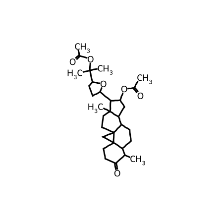 CC(=O)OC1CC2C3CCC4C(C)C(=O)CCC45CC35CCC2(C)C1C1CCC(C(C)(C)OC(C)=O)O1